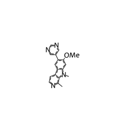 COc1cc2c(cc1-c1cncnc1)c1ccnc(C)c1n2C